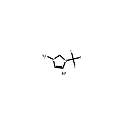 CN1C=CN(C(F)(F)F)C1.F